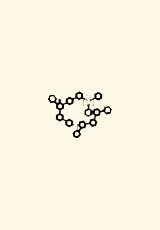 N/C(=N\C(=N/Cc1ccccc1)c1cccc(-c2ccc(-c3cc(-c4cccc(-c5ccc(-n6c7ccccc7c7cc(-c8cccc(-c9cccc(C%10=CCCC=C%10)c9)c8)ccc76)cc5)c4)cc4c5c(sc34)CCC=C5)cc2)c1)C1=CCCC=C1